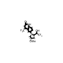 CO[C@H]1C[C@H]([C@@H](O)C(F)(F)F)N(c2ccc3[nH]c(=O)cc(C(F)(F)F)c3c2)C1